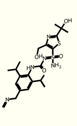 C=NCc1cc(C(C)C)c(NC(=O)N=S(N)(=O)c2sc(C(C)(C)O)nc2CO)c(C(C)C)c1